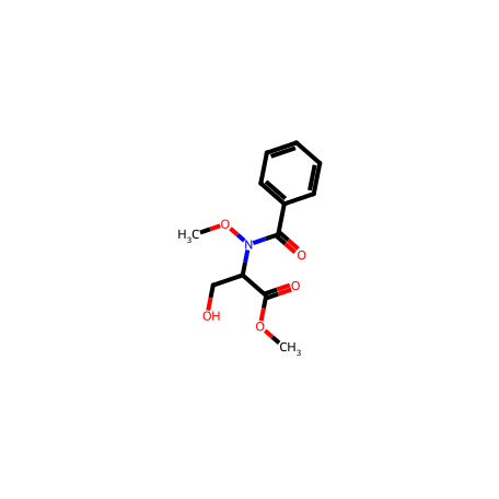 COC(=O)C(CO)N(OC)C(=O)c1ccccc1